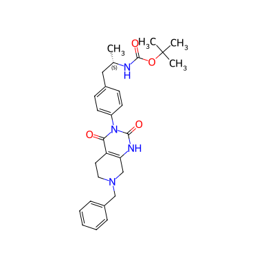 C[C@@H](Cc1ccc(-n2c(=O)[nH]c3c(c2=O)CCN(Cc2ccccc2)C3)cc1)NC(=O)OC(C)(C)C